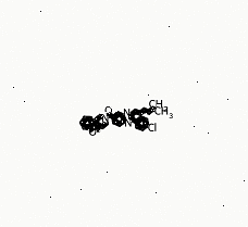 C=C(C)CCCCc1nc2cc(C(=O)N3CCC4(CC3)COc3ccccc34)ccc2nc1-c1ccc(Cl)cc1